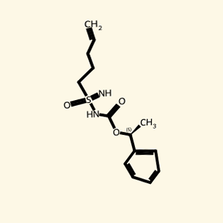 C=CCCCS(=N)(=O)NC(=O)O[C@@H](C)c1ccccc1